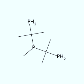 CP(C(C)(C)P)C(C)(C)P